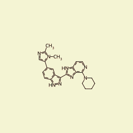 Cc1ncc(-c2ccc3[nH]nc(-c4nc5c(N6CCCCC6)nccc5[nH]4)c3c2)n1C